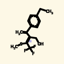 C=C(/C(CO)=C(\SC)C(F)(F)F)c1ccc(CC)cc1